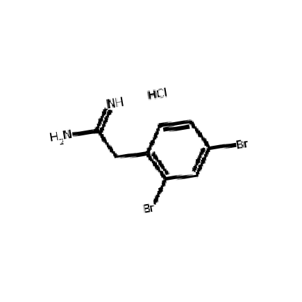 Cl.N=C(N)Cc1ccc(Br)cc1Br